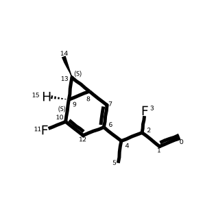 C=CC(F)C(C)C1=CC2[C@@H](C(F)=C1)[C@H]2C